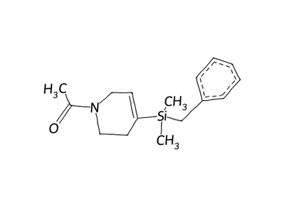 CC(=O)N1CC=C([Si](C)(C)Cc2ccccc2)CC1